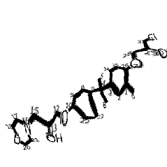 Cc1cc(C(C)(C)c2ccc(OC[C@@H](O)CN3CCOCC3)cc2)ccc1OC[C@H](O)CCl